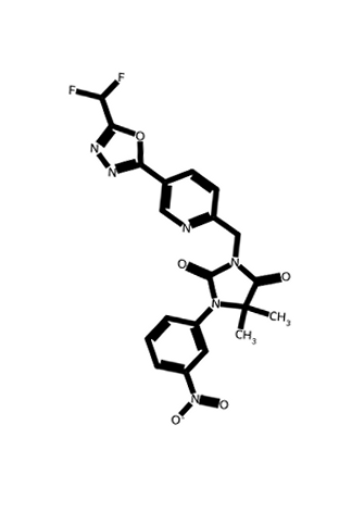 CC1(C)C(=O)N(Cc2ccc(-c3nnc(C(F)F)o3)cn2)C(=O)N1c1cccc([N+](=O)[O-])c1